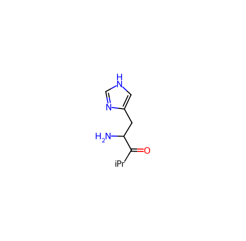 CC(C)C(=O)C(N)Cc1c[nH]cn1